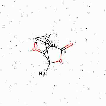 CC1(C)c2cc3c(o2)C1(C)OC3=O